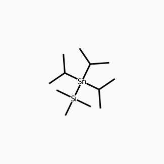 C[CH](C)[Sn]([CH](C)C)([CH](C)C)[Si](C)(C)C